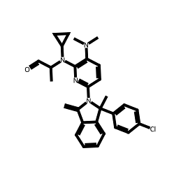 C=C1c2ccccc2C(C)(c2ccc(Cl)cc2)N1c1ccc(N(C)C)c(N(C(C)C=O)C2CC2)n1